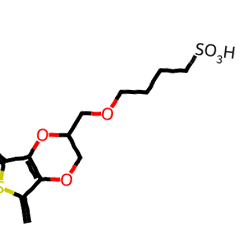 C=c1sc(=C)c2c1OCC(COCCCCS(=O)(=O)O)O2